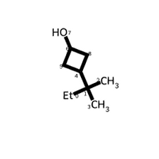 CCC(C)(C)C1CC(O)C1